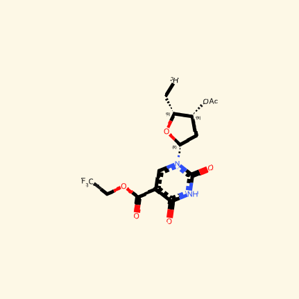 [2H]C[C@H]1O[C@@H](n2cc(C(=O)OCC(F)(F)F)c(=O)[nH]c2=O)C[C@H]1OC(C)=O